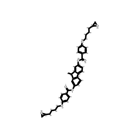 CC1c2cc(OC(=O)c3ccc(OCCCCC4CO4)cc3)ccc2-c2ccc(OC(=O)c3ccc(OCCCCC4CO4)cc3)cc21